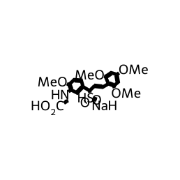 COc1cc(OC)c(C=CC(c2ccc(OC)c(NCC(=O)O)c2)[SH](=O)=O)c(OC)c1.[NaH]